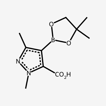 Cc1nn(C)c(C(=O)O)c1B1OCC(C)(C)O1